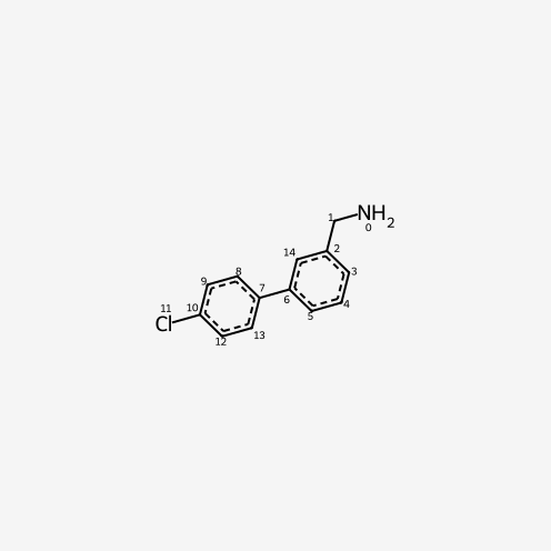 NCc1cccc(-c2ccc(Cl)cc2)c1